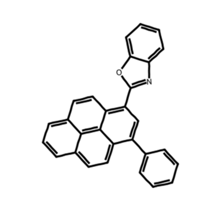 c1ccc(-c2cc(-c3nc4ccccc4o3)c3ccc4cccc5ccc2c3c54)cc1